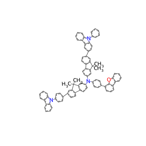 CC1(C)c2cc(-c3ccc(-n4c5ccccc5c5ccccc54)cc3)ccc2-c2ccc(N(c3ccc(-c4cccc5c4oc4ccccc45)cc3)c3ccc4c(c3)C(C)(C)c3cc(-c5ccc6c(c5)c5ccccc5n6-c5ccccc5)ccc3-4)cc21